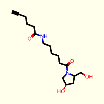 C#CCCCC(=O)NCCCCCC(=O)N1C[C@H](O)CC1CO